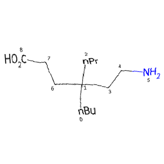 CCCCC(CCC)(CCN)CCC(=O)O